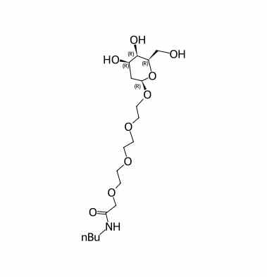 CCCCNC(=O)COCCOCCOCCO[C@H]1C[C@@H](O)[C@@H](O)[C@@H](CO)O1